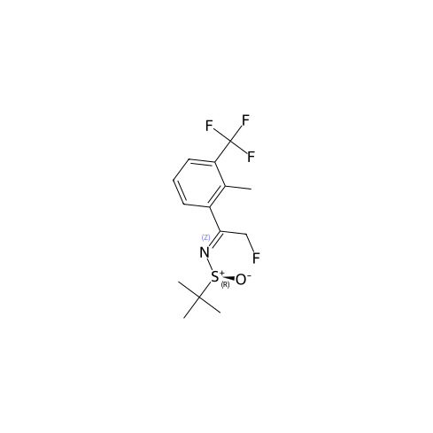 Cc1c(/C(CF)=N/[S@@+]([O-])C(C)(C)C)cccc1C(F)(F)F